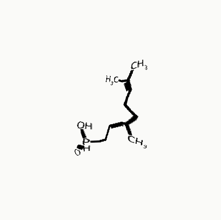 CC(C)=CCCC(C)=CC[PH](=O)O